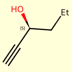 C#C[C@@H](O)CCC